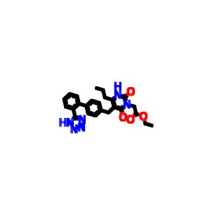 CCCc1[nH]c(=O)n(CC(=O)OCC)c(=O)c1Cc1ccc(-c2ccccc2-c2nnn[nH]2)cc1